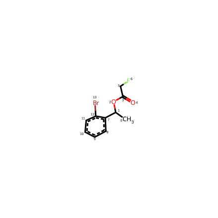 CC(OC(=O)CF)c1ccccc1Br